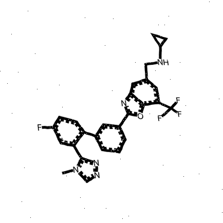 Cn1cnnc1-c1cc(F)ccc1-c1cccc(-c2nc3cc(CNC4CC4)cc(C(F)(F)F)c3o2)c1